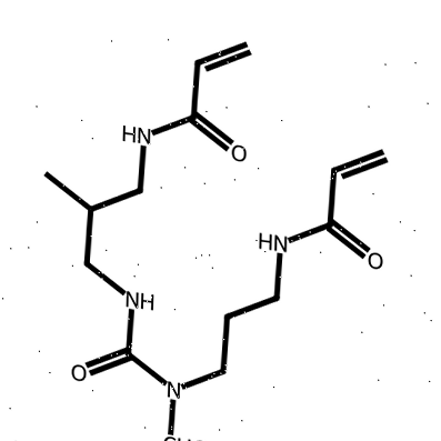 C=CC(=O)NCCCN([C]=O)C(=O)NCC(C)CNC(=O)C=C